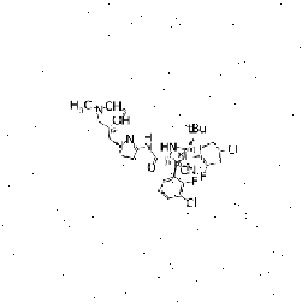 CN(C)C[C@H](O)Cn1ccc(NC(=O)[C@@H]2N[C@@H](CC(C)(C)C)[C@](C#N)(c3ccc(Cl)cc3F)[C@H]2c2cccc(Cl)c2F)n1